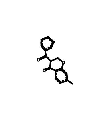 Cc1ccc2c(c1)OCC(C(=O)c1ccccc1)C2=O